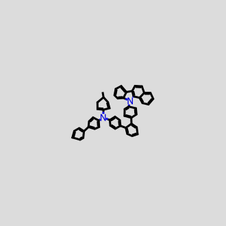 CC1C=CC(N(c2ccc(-c3ccccc3)cc2)c2ccc(-c3ccccc3-c3ccc(-n4c5ccccc5c5ccc6ccccc6c54)cc3)cc2)=CC1